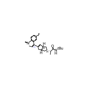 C=Nc1ccc(F)cc1/C(=C\C)C1=C[C@@H]2C[C@H](C(C)C(=O)NC(C)(C)C)C[C@@H]2C1